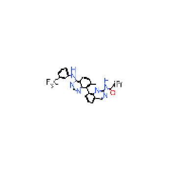 Cc1ccc2c(Nc3cccc(C(F)(F)F)c3)ncnc2c1-c1cccc2cnc(NC(=O)C(C)C)nc12